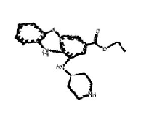 CCOC(=O)c1cc(NC2CCNCC2)c2c(c1)Sc1ccccc1N2